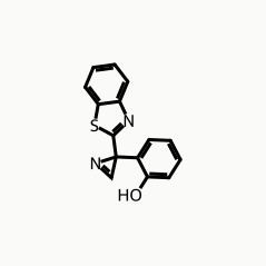 Oc1ccccc1C1(c2nc3ccccc3s2)C=N1